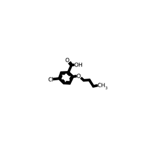 CCCCOc1ccc(Cl)cc1C(=O)O